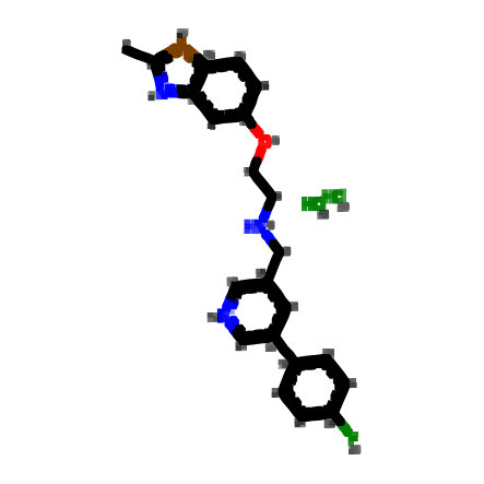 Cc1nc2cc(OCCNCc3cncc(-c4ccc(F)cc4)c3)ccc2s1.Cl.Cl